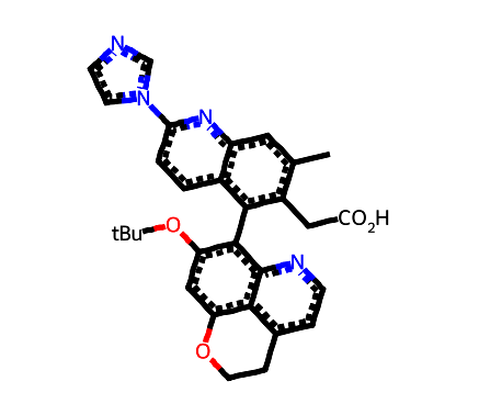 Cc1cc2nc(-n3ccnc3)ccc2c(-c2c(OC(C)(C)C)cc3c4c(ccnc24)CCO3)c1CC(=O)O